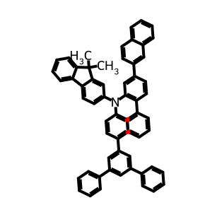 CC1(C)c2ccccc2-c2ccc(N(c3ccc(-c4cc(-c5ccccc5)cc(-c5ccccc5)c4)cc3)c3cc(-c4ccc5ccccc5c4)ccc3-c3ccccc3)cc21